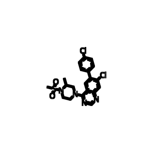 CC1CN(c2ncnc3cc(Cl)c(-c4ccc(Cl)cc4)cc23)CCN1S(C)(=O)=O